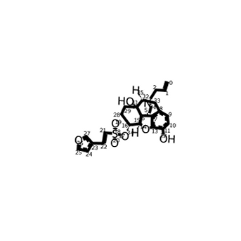 C=CCN1CC[C@]23c4c5ccc(O)c4O[C@H]2[C@H](OS(=O)(=O)/C=C/c2ccoc2)CC[C@@]3(O)[C@H]1C5